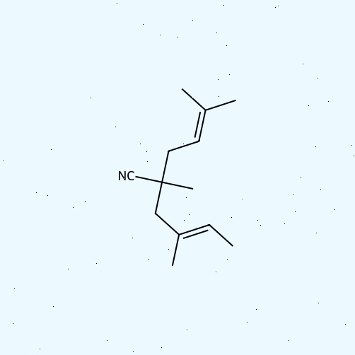 CC=C(C)CC(C)(C#N)CC=C(C)C